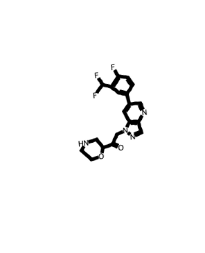 O=C(Cn1ncc2ncc(-c3ccc(F)c(C(F)F)c3)cc21)C1CNCCO1